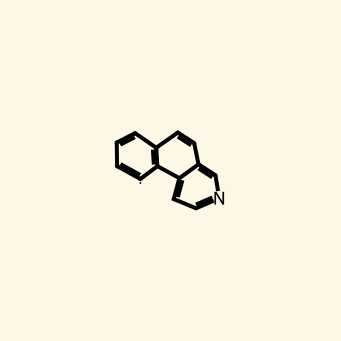 [c]1cccc2ccc3cnccc3c12